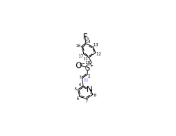 [O-][S+](/C=C/c1ccccn1)Cc1ccc(F)cc1